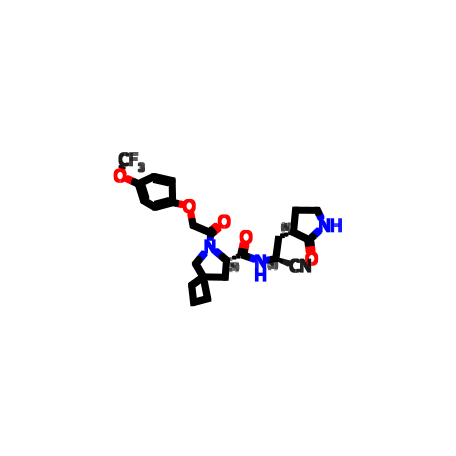 N#C[C@H](C[C@@H]1CCNC1=O)NC(=O)[C@@H]1CC2(CCC2)CN1C(=O)COc1ccc(OC(F)(F)F)cc1